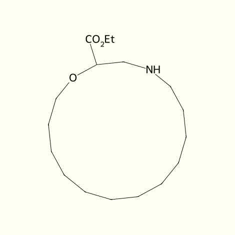 CCOC(=O)C1CNCCCCCCCCCCCCO1